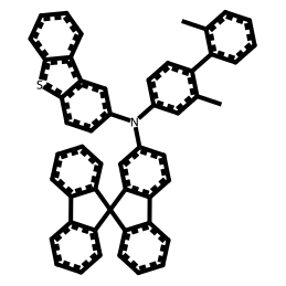 Cc1ccccc1-c1ccc(N(c2ccc3c(c2)C2(c4ccccc4-c4ccccc42)c2ccccc2-3)c2ccc3sc4ccccc4c3c2)cc1C